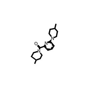 CC1CCN(C(=O)c2cccc(N3CCC(C)CC3)n2)CC1